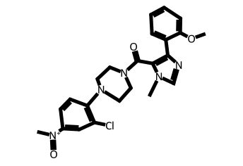 COc1ccccc1-c1ncn(C)c1C(=O)N1CCN(c2ccc([N+](C)=O)cc2Cl)CC1